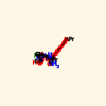 CCCOCCOCCOCCOCCOCCOCCOCCOCCOCCC(=O)N[C@H](C(=O)N[C@@H](CCCNC(N)=O)C(=O)Nc1ccc(Cn2ccc(C(=O)N[C@H]3CCc4c(C)c(F)cc5nc6c(c3c45)Cn3c-6cc4c(c3=O)COC(=O)[C@]4(O)CC)c2)cc1)C(C)C